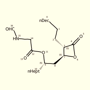 CCCCCCCCCCCC[C@@H]1C(=O)O[C@H]1C[C@H](CCCCCCC)OC(=O)CNC=O